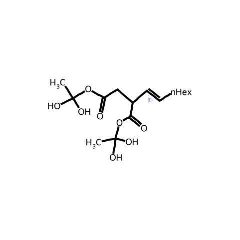 CCCCCC/C=C/C(CC(=O)OC(C)(O)O)C(=O)OC(C)(O)O